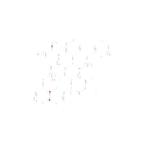 CC(C)[C@H](N)C(=O)N(C(=O)NCc1cccnc1)C(Cc1ccccc1)C(O)C(Cc1ccccc1)N(C(=O)NCc1cccnc1)C(=O)[C@@H](N)C(C)C